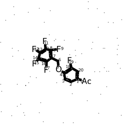 CC(=O)c1ccc(OCc2c(F)c(F)c(F)c(F)c2F)c(F)c1